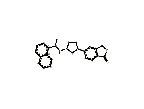 C[C@@H](N[C@H]1CCN(c2ccc3c(c2)COC3=O)C1)c1cccc2ccccc12